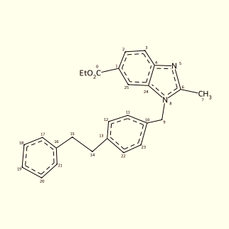 CCOC(=O)c1ccc2nc(C)n(Cc3ccc(CCc4ccccc4)cc3)c2c1